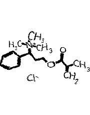 C=C(C)C(=O)OCCC(c1ccccc1)[N+](C)(C)C.[Cl-]